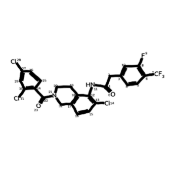 O=C(Cc1ccc(C(F)(F)F)c(F)c1)Nc1c(Cl)ccc2c1CCN(C(=O)c1ccc(Cl)cc1Cl)C2